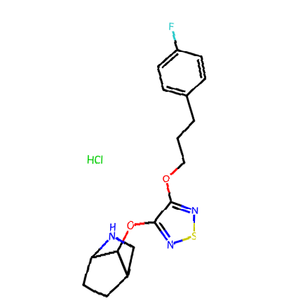 Cl.Fc1ccc(CCCOc2nsnc2OC2C3CCC2NC3)cc1